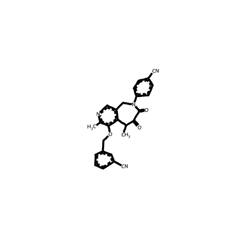 Cc1ncc2c(c1OCc1cccc(C#N)c1)C(C)C(=O)C(=O)N(c1ccc(C#N)cc1)C2